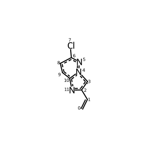 C=Cc1[c]n2nc(Cl)ccc2n1